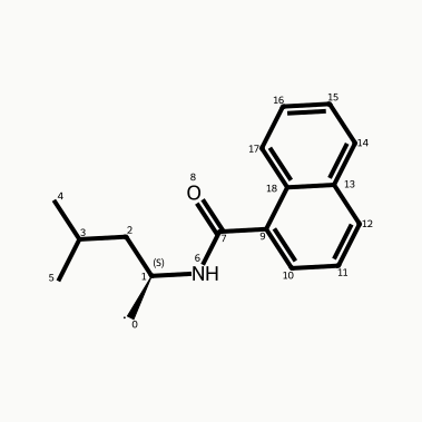 [CH2][C@@H](CC(C)C)NC(=O)c1cccc2ccccc12